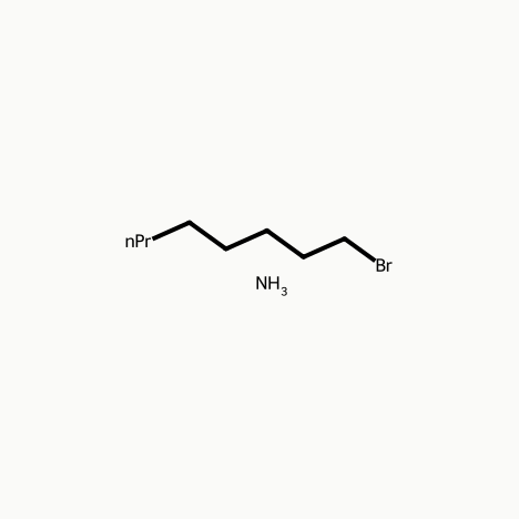 CCCCCCCCBr.N